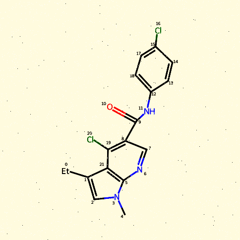 CCc1cn(C)c2ncc(C(=O)Nc3ccc(Cl)cc3)c(Cl)c12